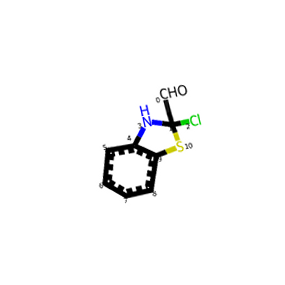 O=CC1(Cl)Nc2ccccc2S1